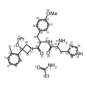 CCC(N)=O.CCCOC1(c2ccccc2C)CN(C(=O)C(Cc2ccc(OC)cc2)NC(=O)[C@@H](N)Cc2c[nH]cn2)C1